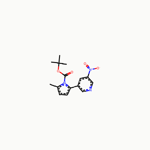 Cc1ccc(-c2cncc([N+](=O)[O-])c2)n1C(=O)OC(C)(C)C